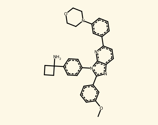 COc1cccc(-c2nc3ccc(-c4cccc(N5CCOCC5)c4)nc3n2-c2ccc(C3(N)CCC3)cc2)c1